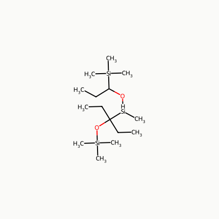 CCC(O[SiH](C)C(CC)(CC)O[Si](C)(C)C)[Si](C)(C)C